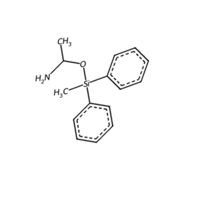 CC(N)O[Si](C)(c1ccccc1)c1ccccc1